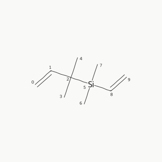 C=CC(C)(C)[Si](C)(C)C=C